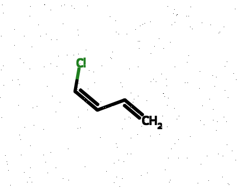 C=C/C=C\Cl